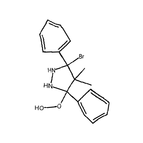 CC1(C)C(Br)(c2ccccc2)NNC1(OO)c1ccccc1